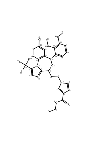 CCOC(=O)c1cnn(CCC2O[C@H](c3cccc(OC)c3OC)c3cc(Cl)ccc3-n3c2nnc3C(F)(F)F)c1